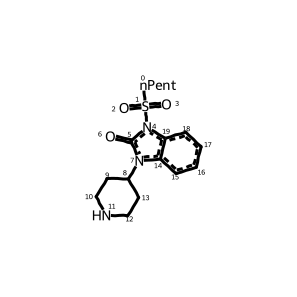 CCCCCS(=O)(=O)n1c(=O)n(C2CCNCC2)c2ccccc21